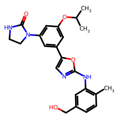 Cc1ccc(CO)cc1Nc1ncc(-c2cc(OC(C)C)cc(N3CCNC3=O)c2)o1